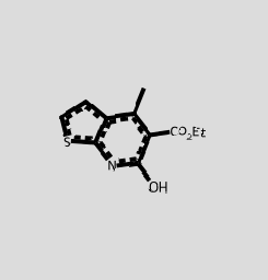 CCOC(=O)c1c(O)nc2sccc2c1C